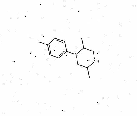 CC1CN(c2ccc(I)cc2)C(C)CN1